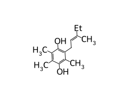 CC/C(C)=C/Cc1c(C)c(O)c(C)c(C)c1O